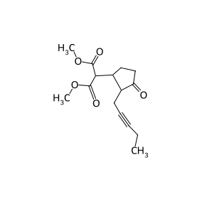 CCC#CCC1C(=O)CCC1C(C(=O)OC)C(=O)OC